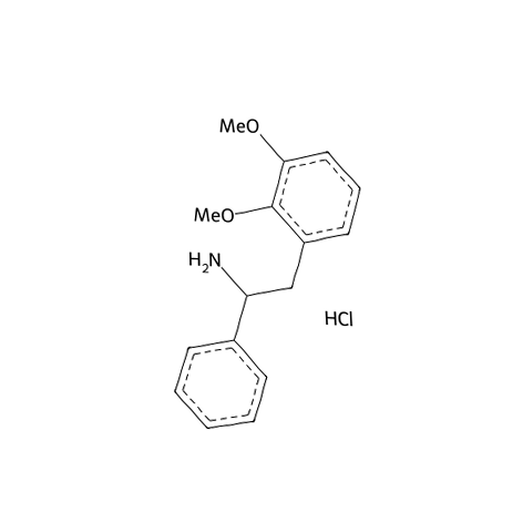 COc1cccc(CC(N)c2ccccc2)c1OC.Cl